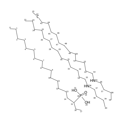 CCCCCCCCCCCCCCCC(CC)P(=O)(O)O.CCCCCCCCCCCCCCNCCCC.CCCCCCCCCCCCCCNCCCC